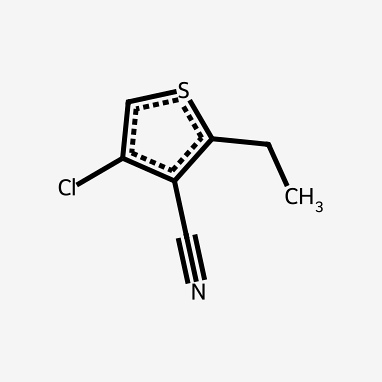 CCc1scc(Cl)c1C#N